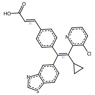 O=C(O)/C=C/c1ccc(/C(=C(\c2ncccc2Cl)C2CC2)c2ccc3scnc3c2)cc1